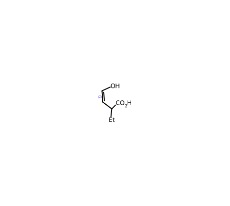 CCC(/C=C\O)C(=O)O